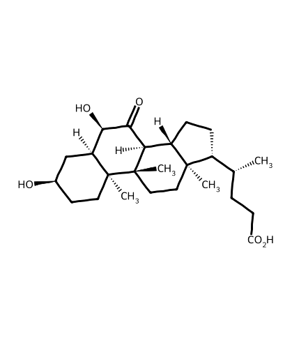 C[C@H](CCC(=O)O)[C@H]1CC[C@H]2[C@@H]3C(=O)[C@H](O)[C@@H]4C[C@H](O)CC[C@]4(C)[C@@]3(C)CC[C@]12C